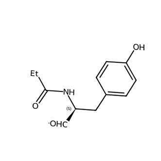 CCC(=O)N[C@H]([C]=O)Cc1ccc(O)cc1